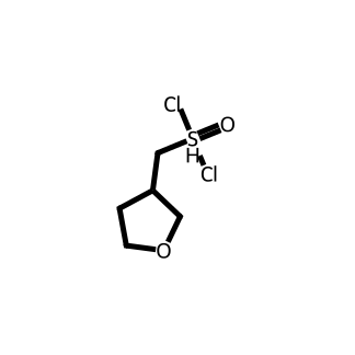 O=[SH](Cl)(Cl)CC1CCOC1